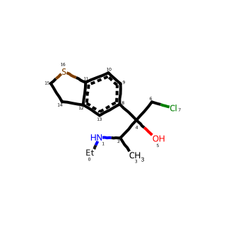 CCNC(C)C(O)(CCl)c1ccc2c(c1)CCS2